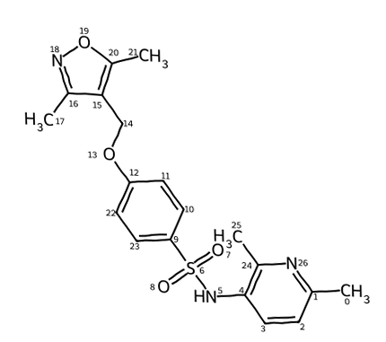 Cc1ccc(NS(=O)(=O)c2ccc(OCc3c(C)noc3C)cc2)c(C)n1